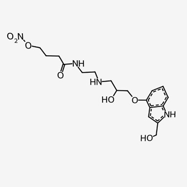 O=C(CCCO[N+](=O)[O-])NCCNCC(O)COc1cccc2[nH]c(CO)cc12